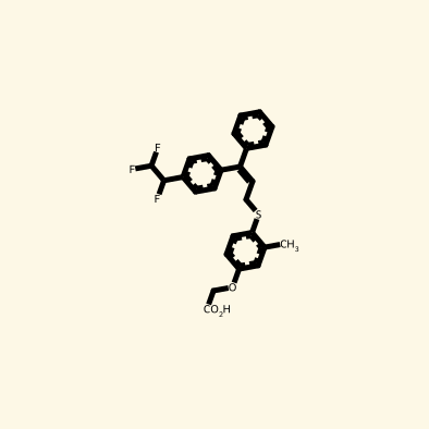 Cc1cc(OCC(=O)O)ccc1SCC=C(c1ccccc1)c1ccc(C(F)C(F)F)cc1